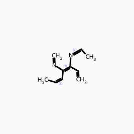 C=CC(/N=C\C)=C(\C=C/C)N=C